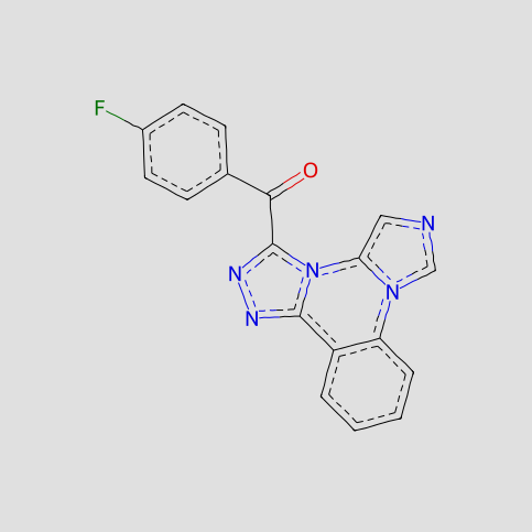 O=C(c1ccc(F)cc1)c1nnc2c3ccccc3n3cncc3n12